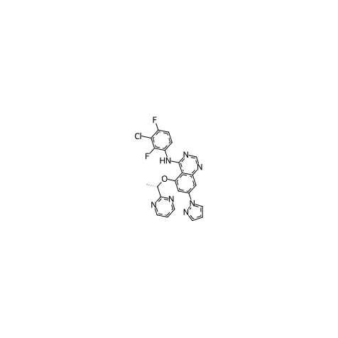 C[C@H](Oc1cc(-n2cccn2)cc2ncnc(Nc3ccc(F)c(Cl)c3F)c12)c1ncccn1